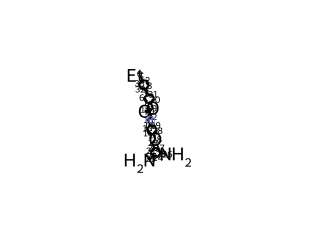 CCc1ccc(-c2ccc(OC(=O)/C=C/c3ccc(OCc4cc(N)cc(N)c4)cc3)cc2)cc1